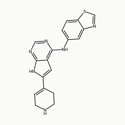 C1=C(c2cc3c(Nc4ccc5scnc5c4)ncnc3[nH]2)CCNC1